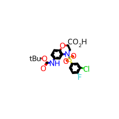 CC(C)(C)OC(=O)Nc1ccc2c(c1)N(S(=O)(=O)c1ccc(F)c(Cl)c1)CC(C(=O)O)O2